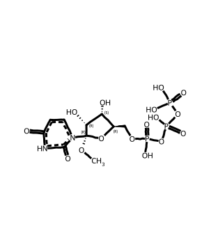 CO[C@@]1(n2ccc(=O)[nH]c2=O)O[C@H](COP(=O)(O)OP(=O)(O)OP(=O)(O)O)[C@@H](O)[C@H]1O